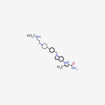 Cc1cc(C(N)=O)nn1-c1ccc2c(ccn2Cc2ccc(C3CCN(CCCNC(=O)O)CC3)cc2)c1